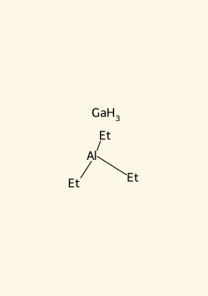 C[CH2][Al]([CH2]C)[CH2]C.[GaH3]